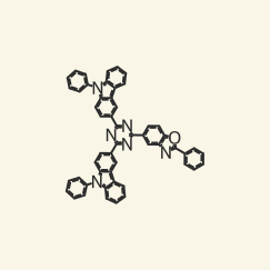 c1ccc(-c2nc3cc(-c4nc(-c5ccc6c(c5)c5ccccc5n6-c5ccccc5)nc(-c5ccc6c(c5)c5ccccc5n6-c5ccccc5)n4)ccc3o2)cc1